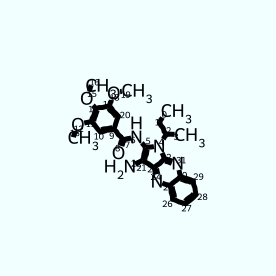 CCC(C)n1c(NC(=O)c2cc(OC)c(OC)c(OC)c2)c(N)c2nc3ccccc3nc21